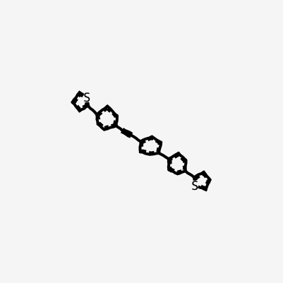 C(#Cc1ccc(-c2cccs2)cc1)c1ccc(-c2ccc(-c3cccs3)cc2)cc1